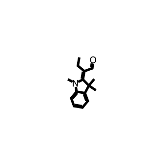 CCC(C=O)=C1N(C)c2ccccc2C1(C)C